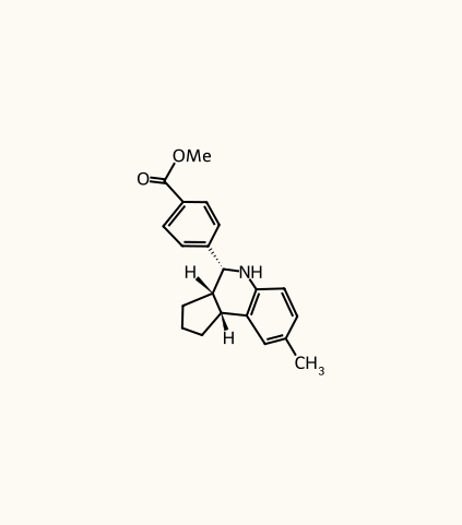 COC(=O)c1ccc([C@@H]2Nc3ccc(C)cc3[C@@H]3CCC[C@@H]32)cc1